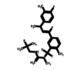 C=C(NCC(C)(C)F)N(C)C(F)(F)c1cc(/C(F)=C/C(c2ccc(F)c(C)c2)C(F)(F)F)ccc1C